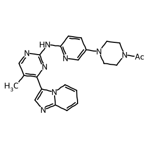 CC(=O)N1CCN(c2ccc(Nc3ncc(C)c(-c4cnc5ccccn45)n3)nc2)CC1